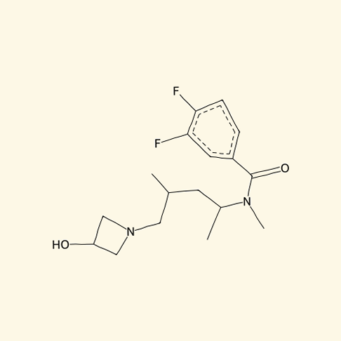 CC(CC(C)N(C)C(=O)c1ccc(F)c(F)c1)CN1CC(O)C1